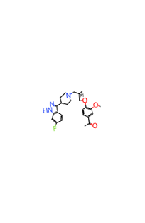 COc1cc(C(C)=O)ccc1OC[C@H](C)CN1CCC(c2n[nH]c3cc(F)ccc23)CC1